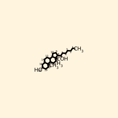 CCCCCCC(O)C1CCC2C3CCC4CC(O)CCC4(C)C3CCC12C